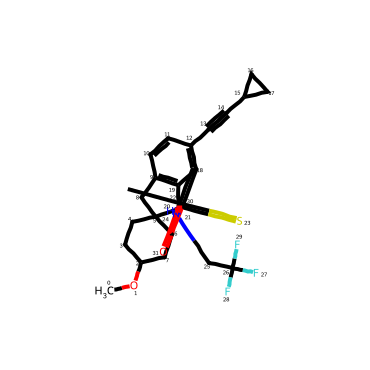 COC1CCC2(CC1)Cc1ccc(C#CC3CC3)cc1C21NC(=S)N(CC(F)(F)F)C1=O